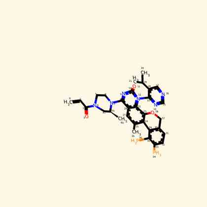 C=CC(=O)N1CCN(c2nc(=O)n(-c3ncncc3C(C)C)c3c4c(c(C)cc23)-c2c(ccc(P)c2P)CO4)[C@@H](C)C1